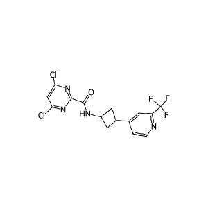 O=C(NC1CC(c2ccnc(C(F)(F)F)c2)C1)c1nc(Cl)cc(Cl)n1